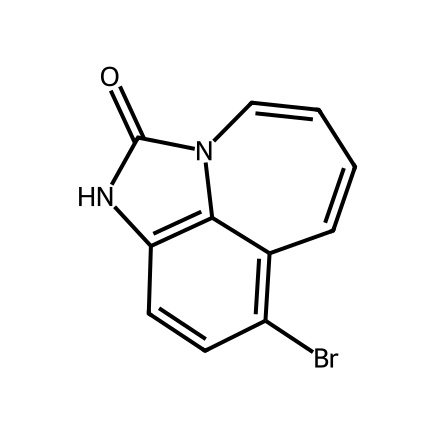 O=c1[nH]c2ccc(Br)c3c2n1C=CC=C3